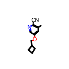 Cc1cc(OCC2CCC2)cnc1C#N